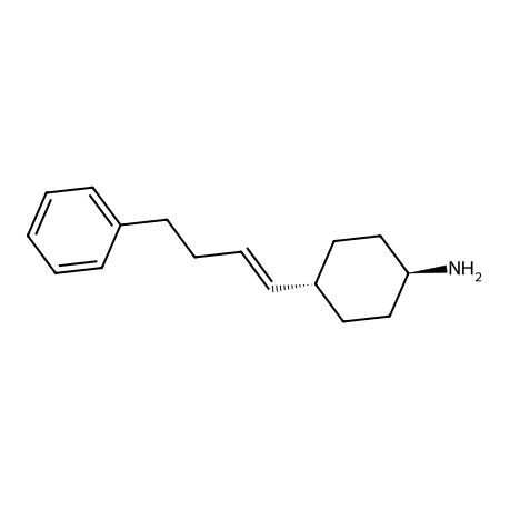 N[C@H]1CC[C@H](C=CCCc2ccccc2)CC1